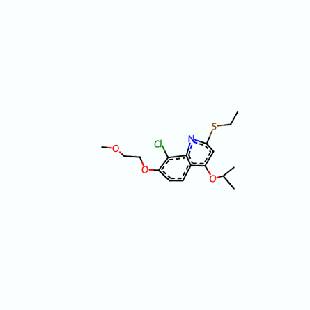 CCSc1cc(OC(C)C)c2ccc(OCCOC)c(Cl)c2n1